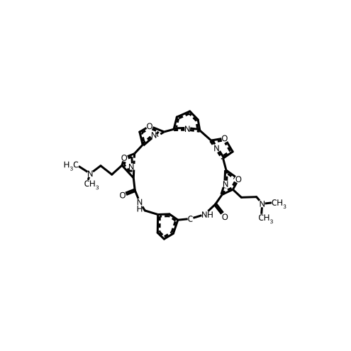 CN(C)CCc1oc2nc1C(=O)NCc1cccc(c1)CNC(=O)c1nc(oc1CCN(C)C)-c1coc(n1)-c1cccc(n1)-c1nc-2co1